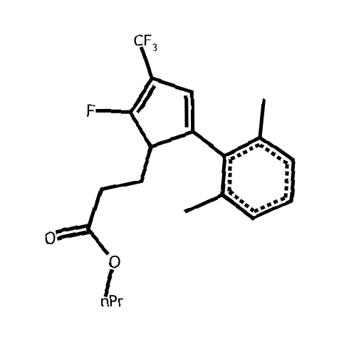 CCCOC(=O)CCC1C(c2c(C)cccc2C)=CC(C(F)(F)F)=C1F